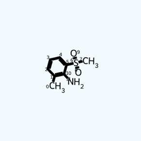 Cc1cccc(S(C)(=O)=O)c1N